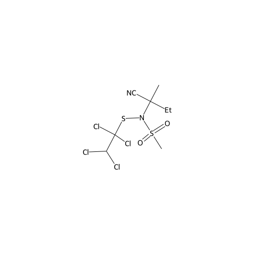 CCC(C)(C#N)N(SC(Cl)(Cl)C(Cl)Cl)S(C)(=O)=O